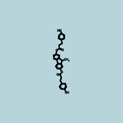 CC1c2cc(OC(=O)CCc3ccc(O)cc3)ccc2-c2ccc(OC(=O)CCc3ccc(O)cc3)cc21